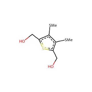 CSc1c(CO)sc(CO)c1SC